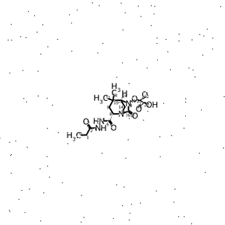 CCC(=O)NNC(=O)[C@@H]1CC(C)(C)[C@@H]2CN1C(=O)N2OS(=O)(=O)O